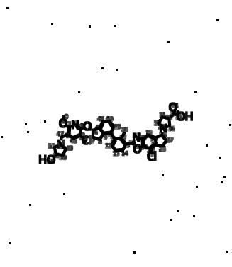 COc1nc(O[C@H]2CCc3c(-c4cccc(-c5nc6cc7c(c(Cl)c6o5)CC[C@H]7N5CC[C@@H](C(=O)O)C5)c4C)cccc32)c(Cl)cc1CN1CC[C@@H](O)C1